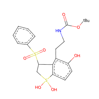 CC(C)(C)OC(=O)NCCc1c(O)ccc2c1C(S(=O)(=O)c1ccccc1)CS2(O)O